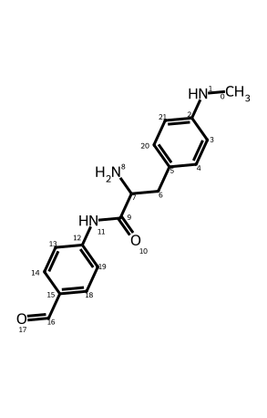 CNc1ccc(CC(N)C(=O)Nc2ccc(C=O)cc2)cc1